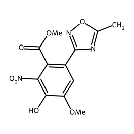 COC(=O)c1c(-c2noc(C)n2)cc(OC)c(O)c1[N+](=O)[O-]